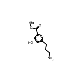 CC(C)(C)OC(=O)c1ccc(CCCN)s1.Cl